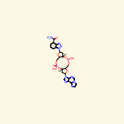 NC(=O)c1cccc2c1nnn2C1C[C@@H]2OP(O)OCC3OC(n4cnc5c4ncn4ccnc54)C[C@@H]3OP(=O)(O)OCC2O1